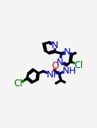 Cc1nc(-c2ccccn2)nc(NC(C(=O)NCc2ccc(Cl)cc2)C(C)C)c1Cl